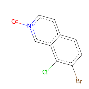 [O-][n+]1ccc2ccc(Br)c(Cl)c2c1